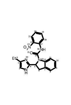 CCc1c[nH]c(C2Cc3ccccc3N2C(=O)Nc2ccccc2[N+](=O)[O-])n1